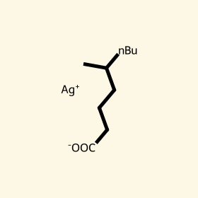 CCCCC(C)CCCC(=O)[O-].[Ag+]